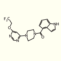 O=C(c1cccc2[nH]ccc12)N1CCN(c2cc(OCC(F)(F)F)ncn2)CC1